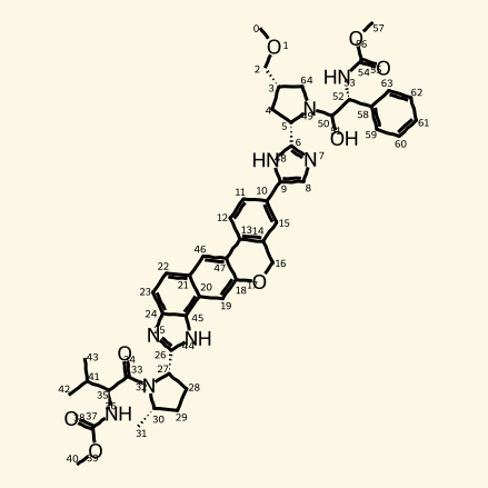 COC[C@H]1C[C@@H](c2ncc(-c3ccc4c(c3)COc3cc5c(ccc6nc([C@@H]7CC[C@H](C)N7C(=O)[C@@H](NC(=O)OC)C(C)C)[nH]c65)cc3-4)[nH]2)N(C(O)[C@H](NC(=O)OC)c2ccccc2)C1